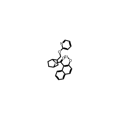 CCOc1ccc2ccccc2c1C(=O)N1C2CCC1C(COc1ccccn1)C2